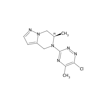 Cc1nc(N2Cc3ccnn3C[C@H]2C)nnc1Cl